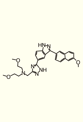 COCCN(CCOC)Cc1n[nH]c(-c2ccc3[nH]nc(-c4ccc5cc(OC)ccc5c4)c3c2)n1